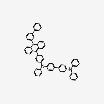 c1ccc(-c2cccc(-c3c4ccccc4c(-c4ccc(N(c5ccccc5)c5ccc(-c6ccc(N(c7ccccc7)c7ccccc7)cc6)cc5)cc4)c4ccccc34)c2)cc1